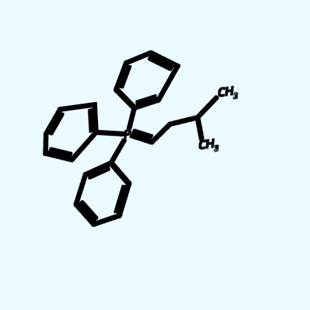 CC(C)CC=P(c1ccccc1)(c1ccccc1)c1ccccc1